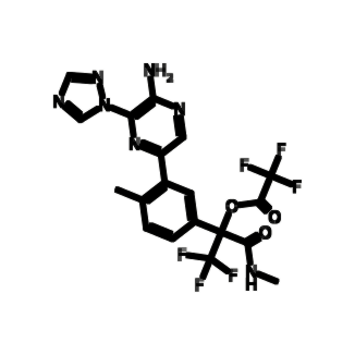 CNC(=O)C(OC(=O)C(F)(F)F)(c1ccc(C)c(-c2cnc(N)c(-n3cncn3)n2)c1)C(F)(F)F